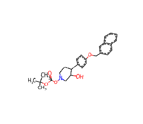 CC(C)(C)OC(=O)ON1CCC(c2ccc(OCc3ccc4ccccc4c3)cc2)C(O)C1